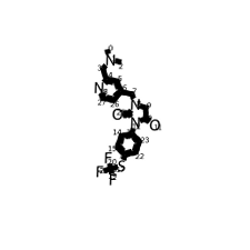 CN(C)Cc1cc(CN2CC(=O)N(c3ccc(SC(F)(F)F)cc3)C2=O)ccn1